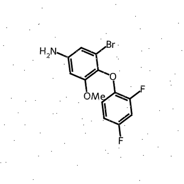 COc1cc(N)cc(Br)c1Oc1ccc(F)cc1F